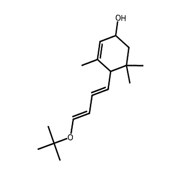 CC1=CC(O)CC(C)(C)C1C=CC=COC(C)(C)C